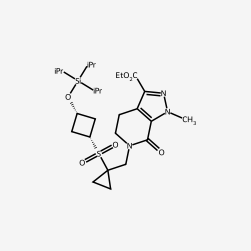 CCOC(=O)c1nn(C)c2c1CCN(CC1(S(=O)(=O)[C@H]3C[C@@H](O[Si](C(C)C)(C(C)C)C(C)C)C3)CC1)C2=O